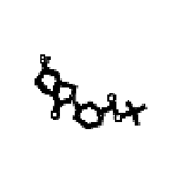 CC(C)(C)OC(=O)N1CCCC(N2Cc3cc(Br)ccc3C2=O)C1